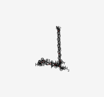 CCc1c2c(nc3ccc(OCc4c(F)cc(NC(=O)[C@H](CCCNC(N)=O)NC(=O)[C@@H](NC(=O)CCOCCOCCOCCOCCOCCOCCOCCOCCOCCN=[N+]=[N-])C(C)C)cc4F)cc13)-c1cc3c(c(=O)n1C2)COC(=O)[C@]3(O)CC